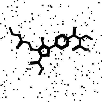 CCOC(=O)COc1c(C(=O)OC)sc(-c2ccc(C(=O)N(CC)C(N)=O)cc2)c1Br